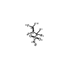 O=S(=O)([N]F)C(F)(F)C(F)=C(F)F